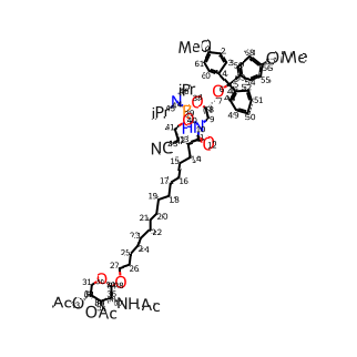 COc1ccc(C(OC[C@H](CNC(=O)CCCCCCCCCCCCCCCO[C@@H]2OC[C@@H](OC(C)=O)[C@H](OC(C)=O)[C@H]2NC(C)=O)OP(OCCC#N)N(C(C)C)C(C)C)(c2ccccc2)c2ccc(OC)cc2)cc1